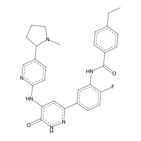 CCc1ccc(C(=O)Nc2cc(-c3cc(Nc4ccc(C5CCCN5C)cn4)c(=O)[nH]n3)ccc2F)cc1